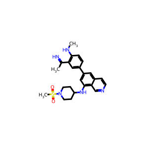 CNc1ccc(-c2cc(NC3CCN(S(C)(=O)=O)CC3)c3cnccc3c2)cc1C(C)=N